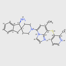 Cc1cc(N2CCC3(CC2)Cc2ccccc2[C@H]3N)n2ccnc2c1Sc1cccnc1C(F)(F)F